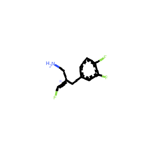 NC/C(=C/F)Cc1ccc(F)c(F)c1